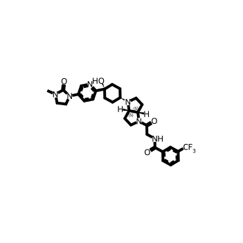 CN1CCN(c2ccc([C@]3(O)CC[C@@H](N4CC[C@H]5[C@@H]4CCN5C(=O)CNC(=O)c4cccc(C(F)(F)F)c4)CC3)nc2)C1=O